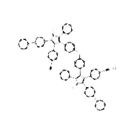 C#Cc1ccc(C2=C(c3ccc(-c4ccccc4)cc3)C(=O)C(c3ccccc3)=C2c2ccc(Oc3ccc(C4=C(c5ccccc5)C(=O)C(c5ccc(-c6ccccc6)cc5)=C4c4ccc(C#C)cc4)cc3)cc2)cc1